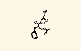 COC(=O)CNC(=O)[C@@H](CSC(C)=O)Cc1ccccc1